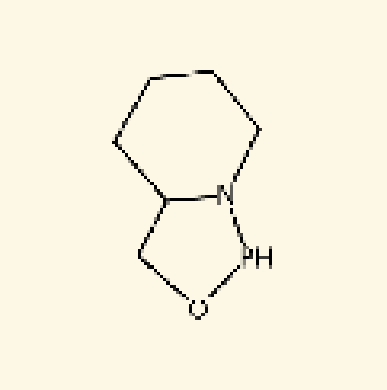 C1CCN2POCC2C1